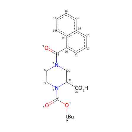 CC(C)(C)OC(=O)N1CCN(C(=O)c2cccc3ccccc23)CC1C(=O)O